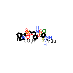 CCCCC1NSc2cc(S(=O)(=O)NC(CCCP(=O)(O)CC(=O)N3[C@@H]4CCCC[C@@H]4C[C@H]3C(=O)O)c3ccccc3)c(Cl)cc2N1